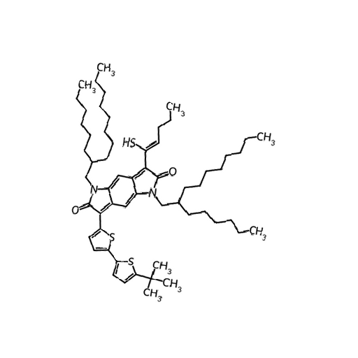 CCC/C=C(\S)C1=c2cc3c(cc2N(CC(CCCCCC)CCCCCCCC)C1=O)=C(c1ccc(-c2ccc(C(C)(C)C)s2)s1)C(=O)N3CC(CCCCCC)CCCCCCCC